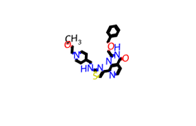 COCCN1CCC(CNc2nc(-c3nccc4c(=O)[nH]c(COCc5ccccc5)nc34)cs2)CC1